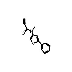 C#CC(=O)N(C)c1csc(-c2ccccc2)c1